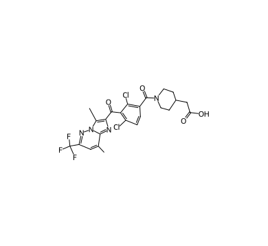 Cc1cc(C(F)(F)F)nn2c(C)c(C(=O)c3c(Cl)ccc(C(=O)N4CCC(CC(=O)O)CC4)c3Cl)nc12